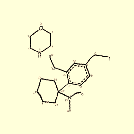 C1COCCN1.CCc1ccc(C2(N(C)C)CCCCC2)c(CC)c1